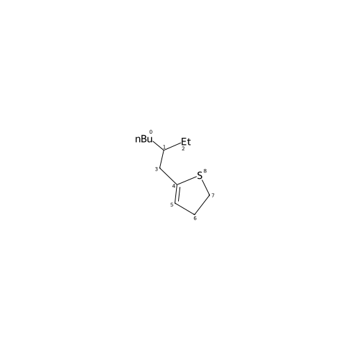 CCCCC(CC)CC1=CCCS1